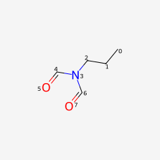 CCCN(C=O)C=O